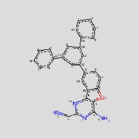 N=Cc1nc(N)c2oc3ccc(-c4cc(-c5ccccc5)cc(-c5ccccc5)c4)cc3c2n1